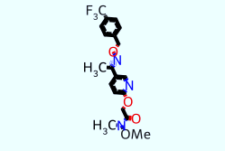 CON(C)C(=O)COc1ccc(/C(C)=N/OCc2ccc(C(F)(F)F)cc2)cn1